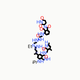 CCN(CCNNC(=O)CNc1cccc2c1C(=O)N(C1CCC(=O)NC1=O)C2=O)/C(N)=C/C=C(\C)c1cc(NC(C)C)c(C=N)c(C(=O)NCc2c(C)cc(C)[nH]c2=O)c1